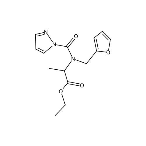 CCOC(=O)C(C)N(Cc1ccco1)C(=O)n1cccn1